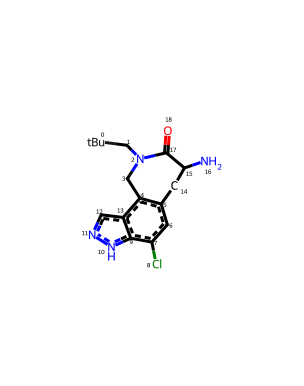 CC(C)(C)CN1Cc2c(cc(Cl)c3[nH]ncc23)CC(N)C1=O